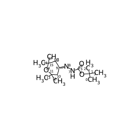 CC(C)(C)OC(=O)NN=C1CC(C)(C)OC(C)(C)C1